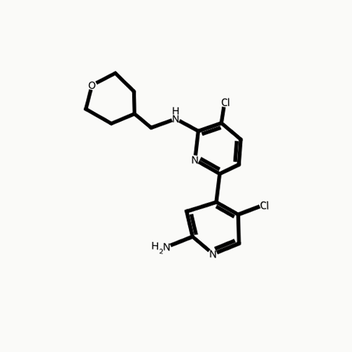 Nc1cc(-c2ccc(Cl)c(NCC3CCOCC3)n2)c(Cl)cn1